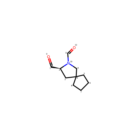 O=C[C@@H]1CC2(CCCC2)CN1C=O